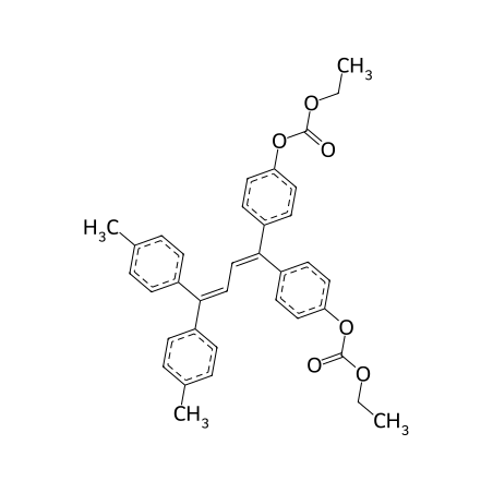 CCOC(=O)Oc1ccc(C(=CC=C(c2ccc(C)cc2)c2ccc(C)cc2)c2ccc(OC(=O)OCC)cc2)cc1